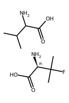 CC(C)(F)[C@H](N)C(=O)O.CC(C)C(N)C(=O)O